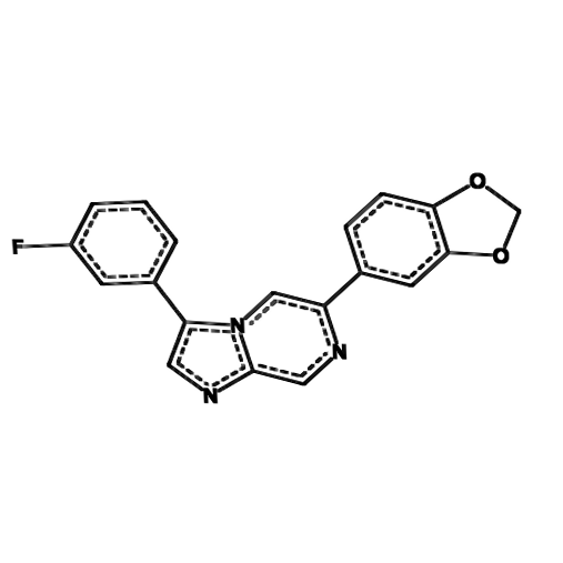 Fc1cccc(-c2cnc3cnc(-c4ccc5c(c4)OCO5)cn23)c1